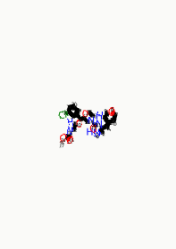 CNCC(CC1CCOCC1)NC(=O)N1CCOC(C(OCCNC(=O)OC)c2cccc(Cl)c2)C1